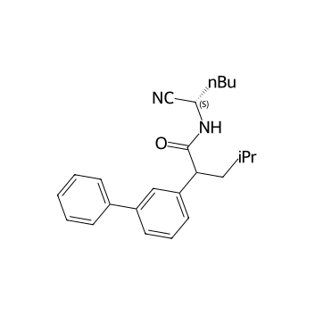 CCCC[C@@H](C#N)NC(=O)C(CC(C)C)c1cccc(-c2ccccc2)c1